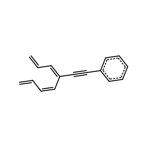 C=C/C=C\C(C#Cc1ccccc1)=C/C=C